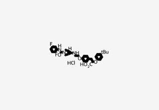 CC(C)(C)c1ccc(O[C@@H](Cc2ccc(OCCN[C@H]3C4CN(C(=O)Nc5cc(F)ccc5F)C[C@@H]43)cc2)C(=O)O)cc1.Cl